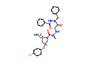 C[C@H](NCC(=O)[C@H](Cc1ccccc1)NC(=O)c1ccccc1)C(=O)N1C[C@@H](Oc2ccc(F)cc2)C[C@H]1C(=O)O